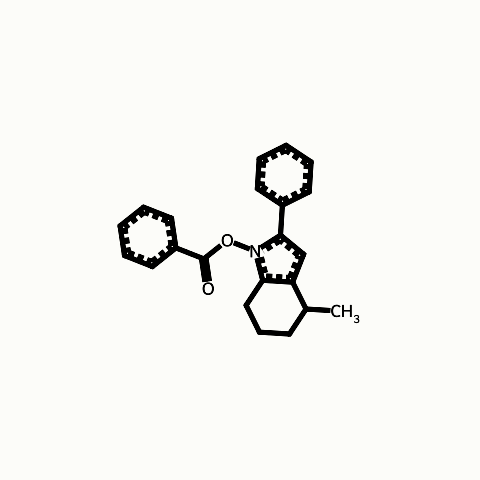 CC1CCCc2c1cc(-c1ccccc1)n2OC(=O)c1ccccc1